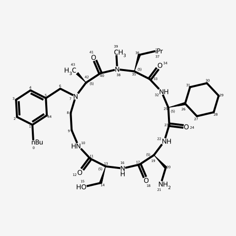 CCCCc1cccc(CN2CCNC(=O)[C@H](CO)NC(=O)[C@H](CN)NC(=O)[C@H](C3CCCCC3)NC(=O)[C@H](CC(C)C)N(C)C(=O)[C@@H]2C)c1